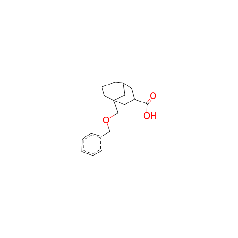 O=C(O)C1CC2CCCC(COCc3ccccc3)(C2)C1